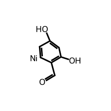 O=Cc1ccc(O)cc1O.[Ni]